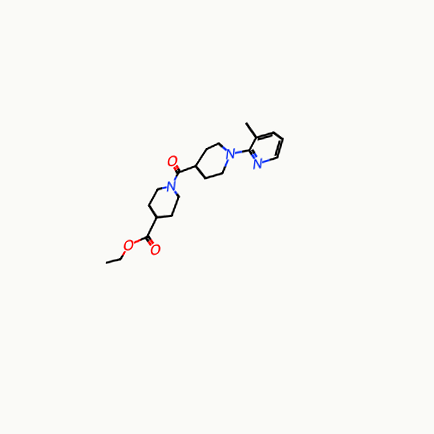 CCOC(=O)C1CCN(C(=O)C2CCN(c3ncccc3C)CC2)CC1